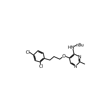 CCCCNc1nc(C)ncc1OCCCc1ccc(Cl)cc1Cl